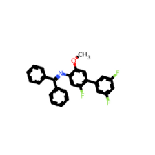 COc1cc(-c2cc(F)cc(F)c2)c(F)cc1N=C(c1ccccc1)c1ccccc1